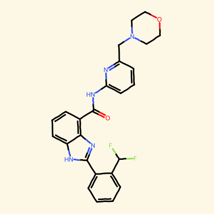 O=C(Nc1cccc(CN2CCOCC2)n1)c1cccc2[nH]c(-c3ccccc3C(F)F)nc12